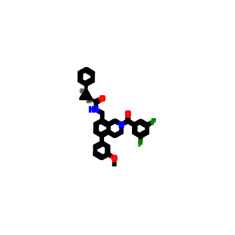 COc1cccc(-c2ccc(CNC(=O)[C@@H]3C[C@H]3c3ccccc3)c3c2CCN(C(=O)c2cc(F)cc(F)c2)C3)c1